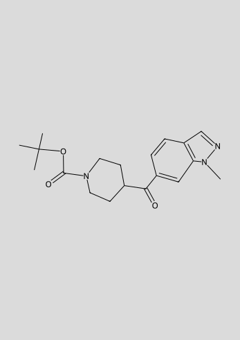 Cn1ncc2ccc(C(=O)C3CCN(C(=O)OC(C)(C)C)CC3)cc21